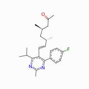 CC(=O)C[C@H](C)C[C@H](C)/C=C/c1c(-c2ccc(F)cc2)nc(C)nc1C(C)C